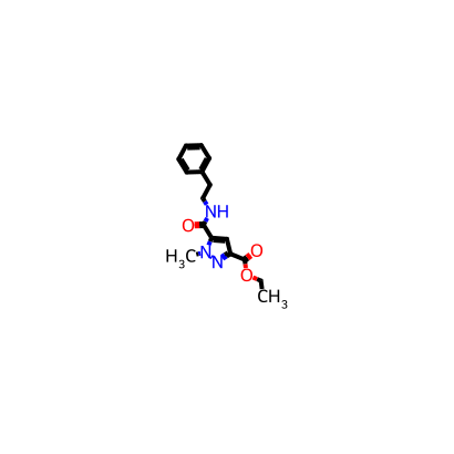 CCOC(=O)c1cc(C(=O)NCCc2ccccc2)n(C)n1